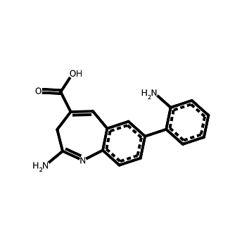 NC1=Nc2ccc(-c3ccccc3N)cc2C=C(C(=O)O)C1